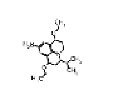 Bc1cc2c3c(c1)C(OCC)CC(C(C)C)N3CCC2OCC